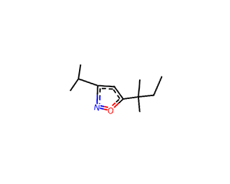 CCC(C)(C)c1cc(C(C)C)no1